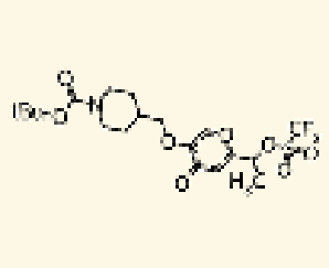 CC(OS(=O)(=O)C(F)(F)F)c1cc(=O)c(OCC2CCN(C(=O)OC(C)(C)C)CC2)co1